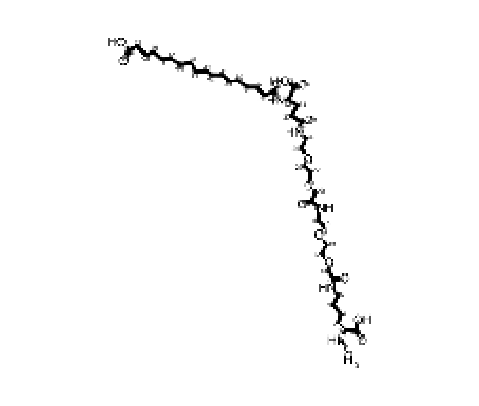 CN[C@@H](CCCCNC(=O)COCCOCCNC(=O)COCCOCCNC(=O)CCC(NC(=O)CCCCCCCCCCCCCCCCC(=O)O)C(=O)O)C(=O)O